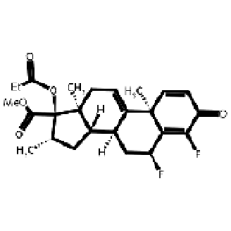 CCC(=O)O[C@]1(C(=O)OC)[C@@H](C)C[C@H]2[C@@H]3C[C@H](F)C4=C(F)C(=O)C=C[C@]4(C)C3=CC[C@@]21C